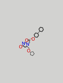 O=c1cc(COC2CCCC2)n2c(n1)O[C@H](COc1ccc(-c3ccccc3)cc1)C2